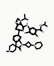 Cc1cc(F)c(Nc2nc(-c3ccc4c(c3)N(C3CC(N5CCCCC5)C3)C(=O)C43CCN(C)CC3)cc3ncn(C(C)C)c23)cc1C(=O)NC(C)C